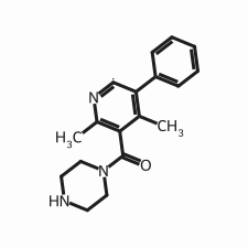 Cc1n[c]c(-c2ccccc2)c(C)c1C(=O)N1CCNCC1